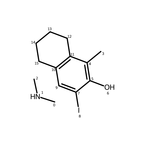 CNC.Cc1c(O)c(I)cc2c1CCCC2